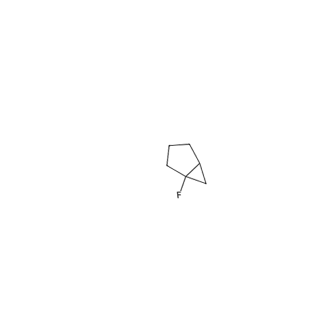 FC12CCCC1C2